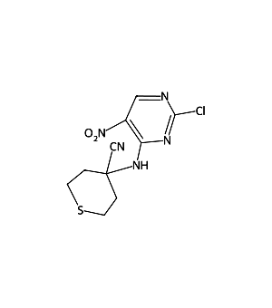 N#CC1(Nc2nc(Cl)ncc2[N+](=O)[O-])CCSCC1